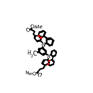 COC(=O)CCc1ccc(N(c2cc(C)cc(N(c3ccc(CCC(=O)OC)cc3)c3ccccc3-c3ccccc3)c2)c2ccccc2-c2ccccc2)cc1